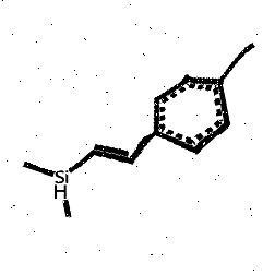 Cc1ccc(C=C[SiH](C)C)cc1